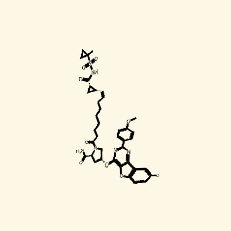 COc1ccc(-c2nc(O[C@@H]3C[C@@H](C(N)=O)N(C(=O)CCCCCC/C=C\[C@@H]4C[C@@H]4C(=O)NS(=O)(=O)C4(C)CC4)C3)c3oc4ccc(Cl)cc4c3n2)cc1